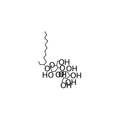 CCCCCCCCCCC(CC)O[C@@H]1OC(CO)[C@@H](O[C@H]2OC(CO)[C@@H](O)C(O)C2O)C(O)C1O